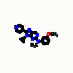 COc1cccc(N(C)c2ncc3nc(-c4ccncc4)n(C4CC4)c3n2)c1